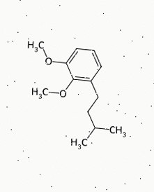 COc1cccc(CCC(C)C)c1OC